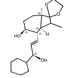 CC1[C@H]2[C@H](/C=C/[C@@H](O)C3CCCCC3)[C@@H](O)CC[C@@]2(C)C12OCCO2